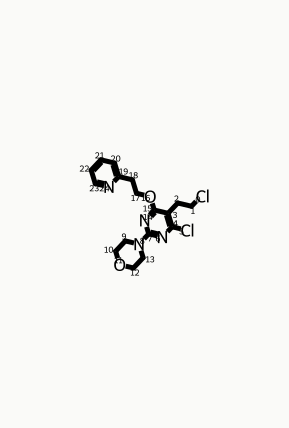 ClCCc1c(Cl)nc(N2CCOCC2)nc1OCCc1ccccn1